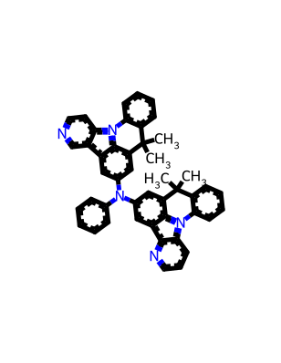 CC1(C)c2ccccc2-n2c3ccncc3c3cc(N(c4ccccc4)c4cc5c6c(c4)c4ncccc4n6-c4ccccc4C5(C)C)cc1c32